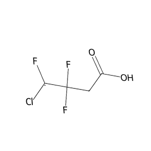 O=C(O)CC(F)(F)[C](F)Cl